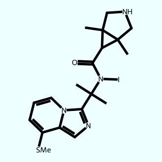 CSc1cccn2c(C(C)(C)N(I)C(=O)C3C4(C)CNCC34C)ncc12